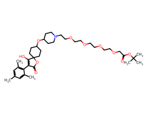 Cc1cc(C)c(C2=C(O)C3(CCC(OC4CCN(CCOCCOCCOCCOCC(=O)OC(C)(C)C)CC4)CC3)OC2=O)c(C)c1